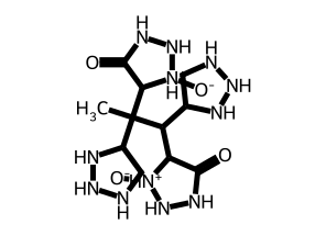 CC(C1CNNN1)(C(C1CNNN1)C1C(=O)NN[NH+]1[O-])C1C(=O)NN[NH+]1[O-]